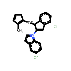 CC1=[C]([Ti+2][CH]2C(n3ccc4ccccc43)=Cc3ccccc32)CC=C1.[Cl-].[Cl-]